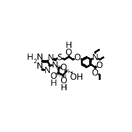 CCOC(=O)c1ccc(OCC(O)CSc2nc3c(N)ncnc3n2[C@@H]2O[C@H](CO)[C@@H](O)[C@H]2O)cc1N(CC)CC